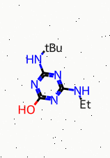 CCNc1nc(O)nc(NC(C)(C)C)n1